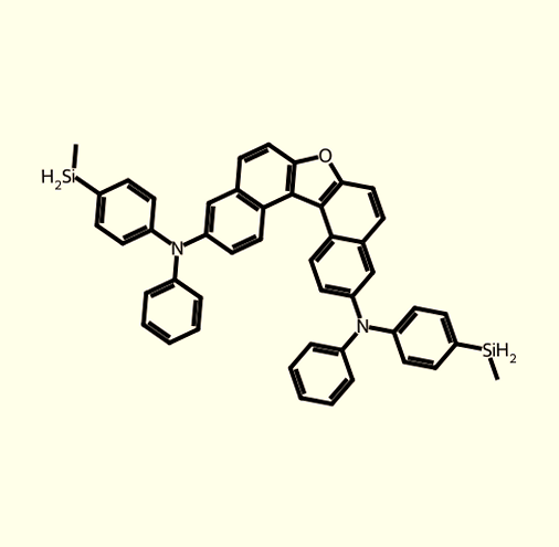 C[SiH2]c1ccc(N(c2ccccc2)c2ccc3c(ccc4oc5ccc6cc(N(c7ccccc7)c7ccc([SiH2]C)cc7)ccc6c5c43)c2)cc1